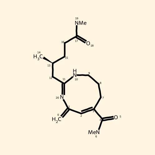 C=C1/C=C(/C(=O)NC)CCCN/C(C[C@@H](C)CCC(=O)NC)=N\1